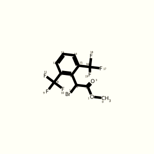 COC(=O)C(Br)c1c(C(F)(F)F)cccc1C(F)(F)F